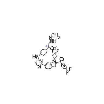 C=NN/C=C(\C)c1ccc(Nc2ccnc(-c3ccc4cc(C(=O)N5CC(F)(F)C5)n(C5CC(F)(F)C5)c4c3)n2)cc1